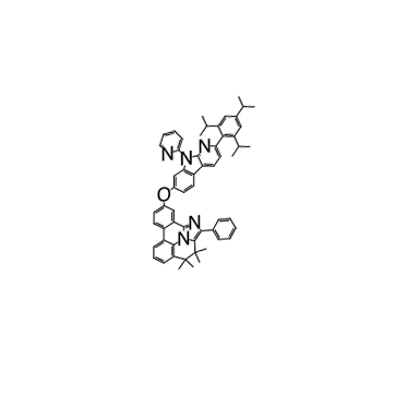 CC(C)c1cc(C(C)C)c(-c2ccc3c4ccc(Oc5ccc6c(c5)c5nc(-c7ccccc7)c7n5c5c(cccc65)C(C)(C)C7(C)C)cc4n(-c4ccccn4)c3n2)c(C(C)C)c1